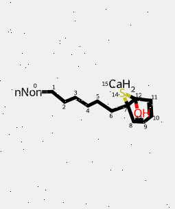 CCCCCCCCCCCCCCCC12C=CC=CC1(O)S2.[CaH2]